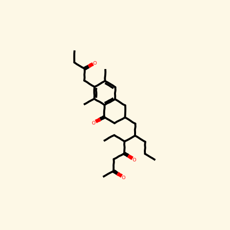 CCCC(CC1CC(=O)c2c(cc(C)c(CC(=O)CC)c2C)C1)C(CC)C(=O)CC(C)=O